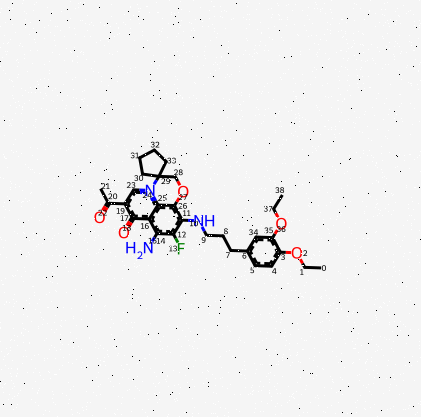 CCOc1ccc(CCCNc2c(F)c(N)c3c(=O)c(C(C)=O)cn4c3c2OCC42CCCC2)cc1OCC